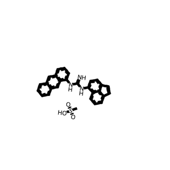 CS(=O)(=O)O.N=C(Nc1cccc2cc3ccccc3cc12)Nc1ccc2c3c(cccc13)C=C2